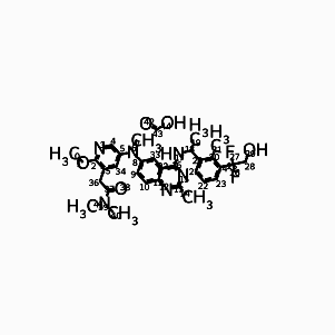 COc1ncc(N(C)c2ccc3nc(C)nc(N[C@H](C)c4cccc(C(F)(F)CO)c4C)c3c2)cc1CC(=O)N(C)C.O=CO